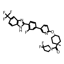 C[C@]1(C(=O)N2CCC(F)(F)C2)CC[C@@H](Oc2ccc(-c3ccc(-c4nc5cc(C(F)(F)F)ccc5[nH]4)c(F)c3)cn2)CC1